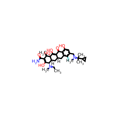 C=C1C(C(N)=O)=C(O)[C@@H](N(C)CC)[C@@H]2C[C@@H]3Cc4c(F)c(CN(C)C(C)(C)C5CC5)cc(O)c4C(=O)C3=C(O)[C@]12O